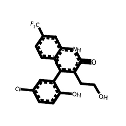 O=c1[nH]c2cc(C(F)(F)F)ccc2c(-c2cc(Cl)ccc2O)c1CCO